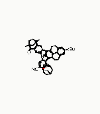 CC12CCC(C)(CC1)c1cc3c4c5c6c(c7c8c9c(c(C#N)cc8n(c3cc1C2=O)c47)C1CC2CC(C1)CC9C2)CCc1cc(C(C)(C)C)cc(c1-6)CC5